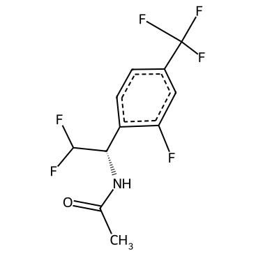 CC(=O)N[C@@H](c1ccc(C(F)(F)F)cc1F)C(F)F